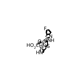 O=C(Nc1nc2ccc(F)cc2s1)C1S[C@]1(Cc1c[nH]cn1)NC(=O)[C@H]1O[C@@H]1C(=O)O